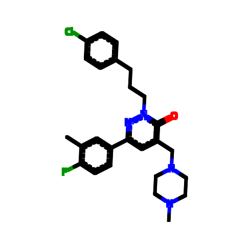 Cc1cc(-c2cc(CN3CCN(C)CC3)c(=O)n(CCCc3ccc(Cl)cc3)n2)ccc1F